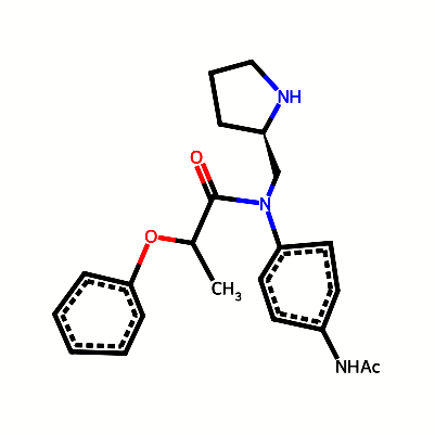 CC(=O)Nc1ccc(N(C[C@H]2CCCN2)C(=O)C(C)Oc2ccccc2)cc1